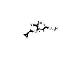 NC(=O)[C@H](CCC(=O)O)NCC1CC1